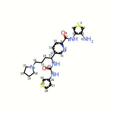 Nc1cscc1NC(=O)c1ccc(C(CCCN2CCCC2)NC(=O)Nc2ccsc2)cn1